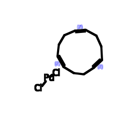 C1=C\CC/C=C\CC/C=C\CC/1.[Cl][Pd][Cl]